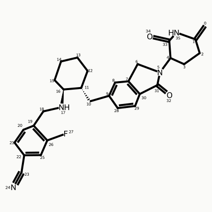 C=C1CCC(N2Cc3cc(C[C@H]4CCCC[C@@H]4NCc4ccc(C#N)cc4F)ccc3C2=O)C(=O)N1